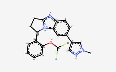 Cn1cc(-c2ccc3nc4n(c3c2)[C@@H](c2ccccc2OC(F)F)CC4)cn1